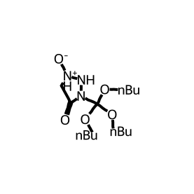 CCCCOC(OCCCC)(OCCCC)N1N[NH+]([O-])CC1=O